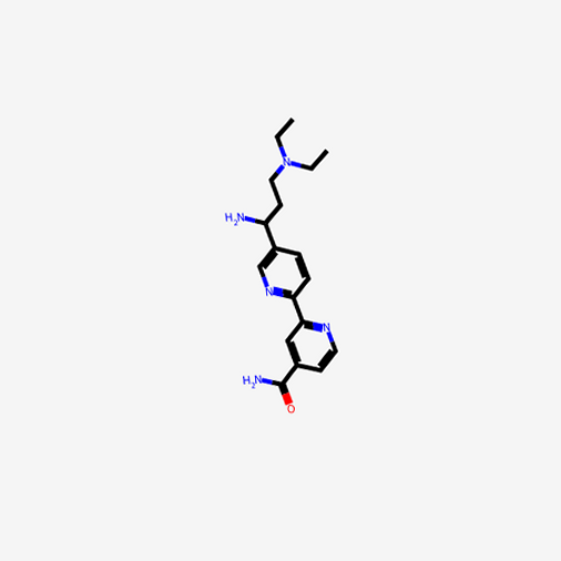 CCN(CC)CCC(N)c1ccc(-c2cc(C(N)=O)ccn2)nc1